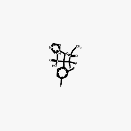 CCS(=O)(=O)C(F)(F)C(Cn1cncn1)(c1ccc(F)cc1F)P(=O)(O)O